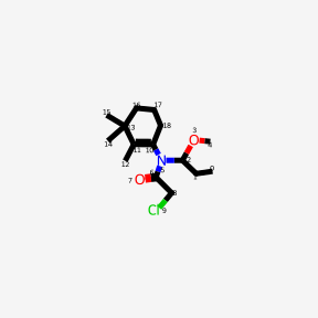 CCC(OC)N(C(=O)CCl)C1=C(C)C(C)(C)CCC1